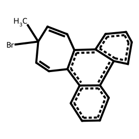 CC1(Br)C=Cc2c(c3ccccc3c3ccccc23)C=C1